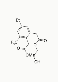 CCc1cc(CC(=O)OCCO)c(CC(=O)OC)c(C(F)(F)F)c1